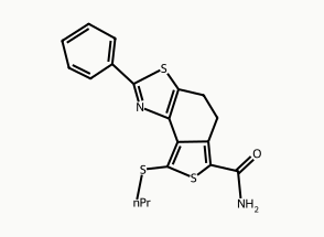 CCCSc1sc(C(N)=O)c2c1-c1nc(-c3ccccc3)sc1CC2